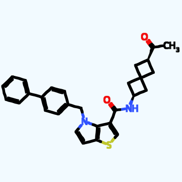 CC(=O)[C@H]1CC2(C[C@H](NC(=O)c3csc4ccn(Cc5ccc(-c6ccccc6)cc5)c34)C2)C1